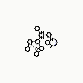 C=C1/C=C\C=C/CN(c2cccc(-c3nc(-c4ccccc4)cc(-c4cc(-c5cccc6c5oc5ccccc56)cc(-c5cccc6c5oc5ccccc56)c4)n3)c2)c2ccccc21